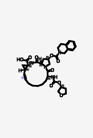 O=C(N[C@H]1CCCCC/C=C\[C@@H]2C[C@@]2(C(=O)O)NC(=O)[C@@H]2C[C@@H](OC(=O)N3CCc4ccccc4C3)CN2C1=O)O[C@H]1CCOC1